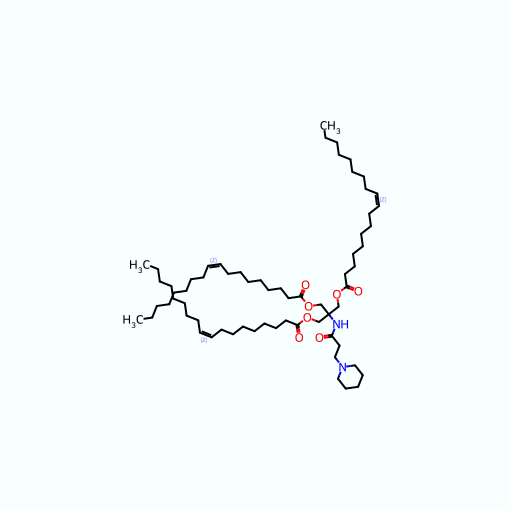 CCCCCCCC/C=C\CCCCCCCC(=O)OCC(COC(=O)CCCCCCC/C=C\CCCCCCCC)(COC(=O)CCCCCCC/C=C\CCCCCCCC)NC(=O)CCN1CCCCC1